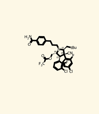 CC(C)(C)C[C@@H]1N(CCCc2ccc(C(N)=O)cc2)[C@@H](COC(=O)C(F)(F)F)[C@H](c2cccc(Cl)c2F)[C@@]1(C#N)c1ccc(Cl)cc1F